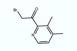 Cc1ccnc(C(=O)CBr)c1C